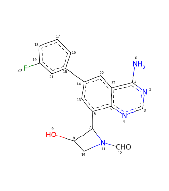 Nc1ncnc2c(C3C(O)CN3C=O)cc(-c3cccc(F)c3)cc12